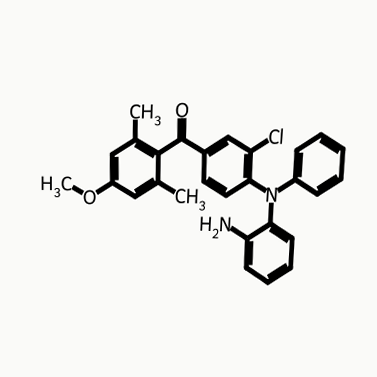 COc1cc(C)c(C(=O)c2ccc(N(c3ccccc3)c3ccccc3N)c(Cl)c2)c(C)c1